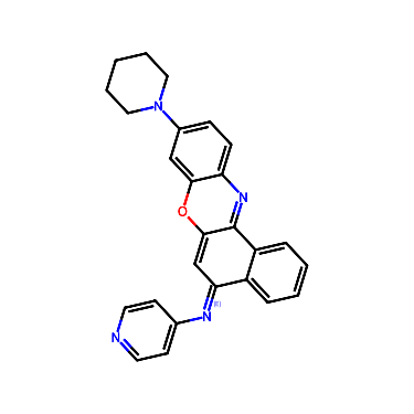 c1ccc2/c(=N/c3ccncc3)cc3oc4cc(N5CCCCC5)ccc4nc-3c2c1